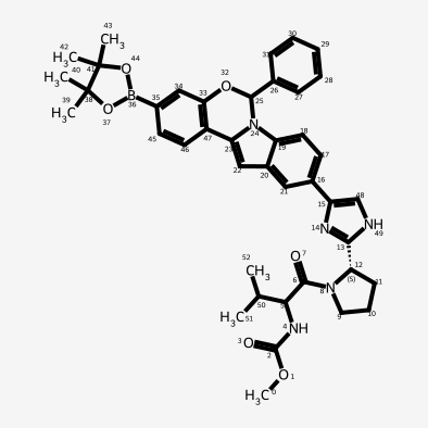 COC(=O)NC(C(=O)N1CCC[C@H]1c1nc(-c2ccc3c(c2)cc2n3C(c3ccccc3)Oc3cc(B4OC(C)(C)C(C)(C)O4)ccc3-2)c[nH]1)C(C)C